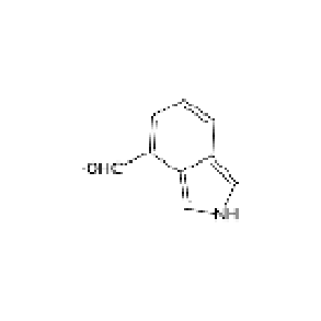 O=[C]c1cccc2c[nH]cc12